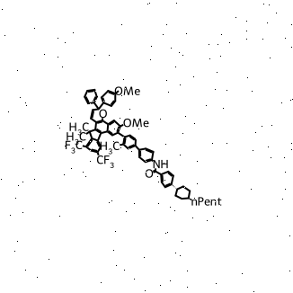 CCCCC[C@H]1CC[C@H](c2ccc(C(=O)Nc3ccc(-c4ccc(-c5cc6c7c(c8c(c6cc5OC)OC(c5ccccc5)(c5ccc(OC)cc5)C=C8)C(C)(C)c5c-7cc(C(F)(F)F)cc5C(F)(F)F)c(C)c4)cc3)cc2)CC1